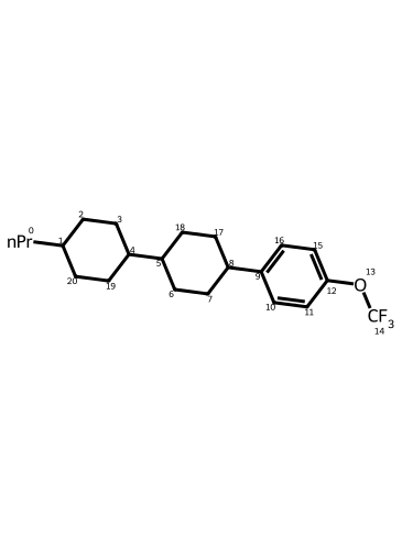 CCCC1CCC(C2CCC(c3ccc(OC(F)(F)F)cc3)CC2)CC1